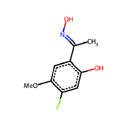 COc1cc(C(C)=NO)c(O)cc1F